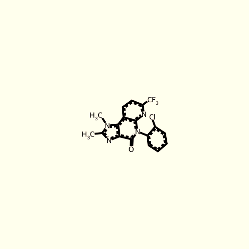 Cc1nc2c(=O)n(-c3ccccc3Cl)c3nc(C(F)(F)F)ccc3c2n1C